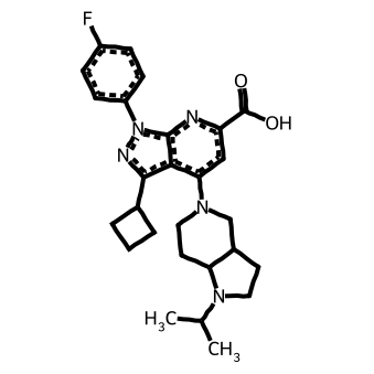 CC(C)N1CCC2CN(c3cc(C(=O)O)nc4c3c(C3CCC3)nn4-c3ccc(F)cc3)CCC21